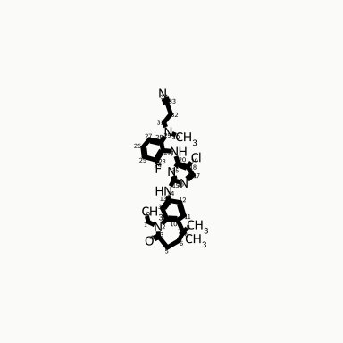 CCN1C(=O)CCC(C)(C)c2ccc(Nc3ncc(Cl)c(Nc4c(F)cccc4N(C)CCC#N)n3)cc21